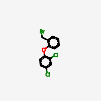 Clc1ccc(Oc2ccccc2CBr)c(Cl)c1